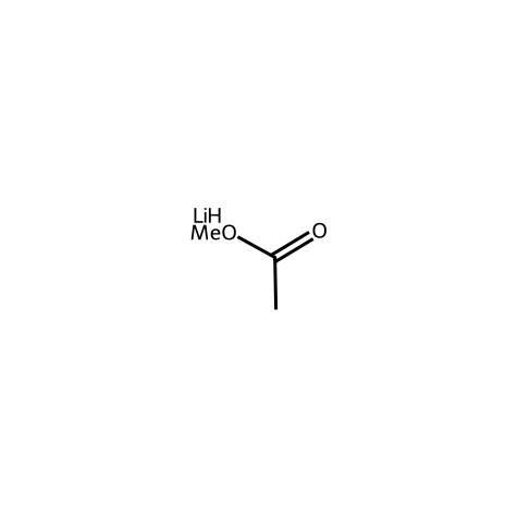 COC(C)=O.[LiH]